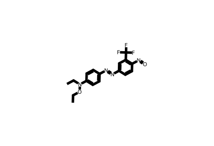 CCON(CC)c1ccc(N=Nc2ccc(N=O)c(C(F)(F)F)c2)cc1